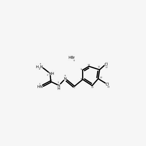 Br.N=C(NN)NN=Cc1ccc(Cl)c(Cl)c1